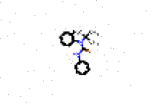 CC(C)(C)N(C(=S)Nc1ccccc1)c1ccccc1